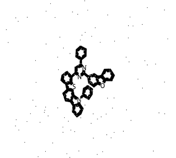 c1ccc(-c2cc(-c3cccc4c3sc3c4ccc4c5ccccc5n(-c5ccccc5)c43)nc(-c3ccc4oc5ccccc5c4c3)n2)cc1